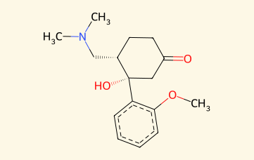 COc1ccccc1[C@]1(O)CC(=O)CC[C@H]1CN(C)C